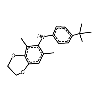 Cc1cc2c(c(C)c1Nc1ccc(C(C)(C)C)cc1)OCCO2